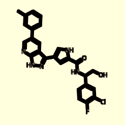 Cc1cccc(-c2cnc3[nH]nc(-c4c[nH]c(C(=O)NC(CO)c5ccc(F)c(Cl)c5)c4)c3c2)c1